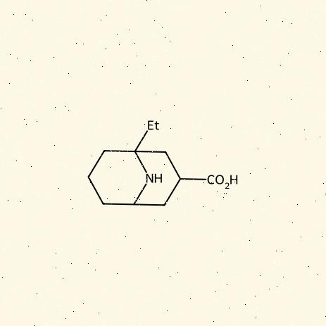 CCC12CCCC(CC(C(=O)O)C1)N2